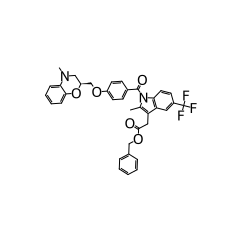 Cc1c(CC(=O)OCc2ccccc2)c2cc(C(F)(F)F)ccc2n1C(=O)c1ccc(OC[C@@H]2CN(C)c3ccccc3O2)cc1